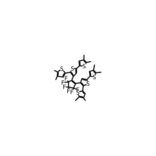 Cc1cc(-c2cc(C3=C(c4cc(-c5cc(C)c(C)s5)sc4-c4cc(C)c(C)s4)C(F)(F)C(F)(F)C3(F)F)c(-c3cc(C)c(C)s3)s2)sc1C